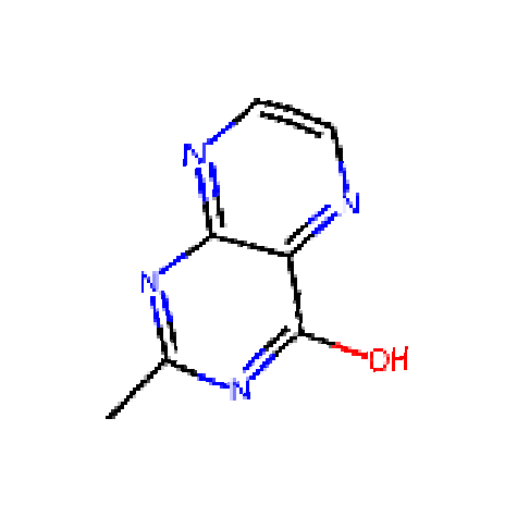 Cc1nc(O)c2nccnc2n1